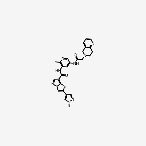 Cc1ncc(NC(=O)CN2CCc3ncccc3C2)cc1NC(=O)c1cnn2cc(-c3cnn(C)c3)sc12